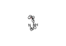 N#C[C@@H]1CCCN1C(=O)CNC1C2CN(C(=O)C34CC5CC(CC(C5)C3)C4)CC21